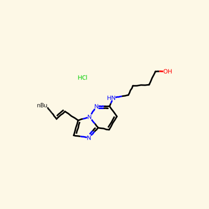 CCCCC=Cc1cnc2ccc(NCCCCO)nn12.Cl